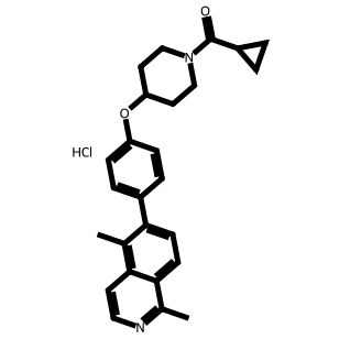 Cc1nccc2c(C)c(-c3ccc(OC4CCN(C(=O)C5CC5)CC4)cc3)ccc12.Cl